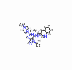 CCC[C@H](Nc1nc(N2CCN(C(C)=O)CC2)nc2cnn(C(CC)CC)c12)c1cnc2ccccc2c1